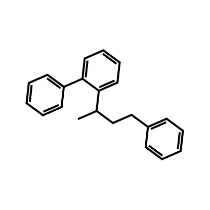 CC(CCc1ccccc1)c1ccccc1-c1ccccc1